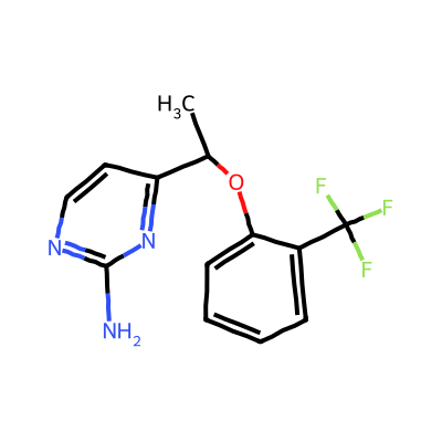 CC(Oc1ccccc1C(F)(F)F)c1ccnc(N)n1